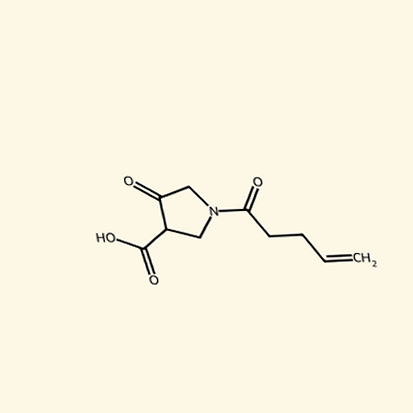 C=CCCC(=O)N1CC(=O)C(C(=O)O)C1